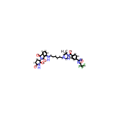 CCN(CCCCCCNc1cccc2c1C(=O)N(C1CCC(=O)NC1=O)C2=O)C[C@@H](C)NC(=O)c1ccc(-c2noc(C(F)(F)F)n2)cc1